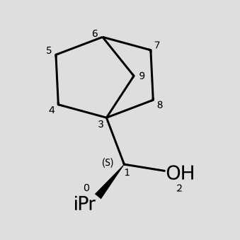 CC(C)[C@H](O)C12CCC(CC1)C2